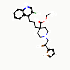 CCOC(=O)C1(CCCc2c(F)cnc3ccccc23)CCN(CC(=S)c2cccs2)CC1